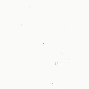 N#Cc1ccc2c(c1)c1c(n2C(=O)NCc2ccnc(Br)c2)CCN(C/C=C/c2ccc(F)cc2Cl)C1